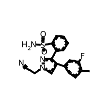 Cc1ccc(-c2cn(CC#N)nc2-c2ccccc2S(N)(=O)=O)cc1F